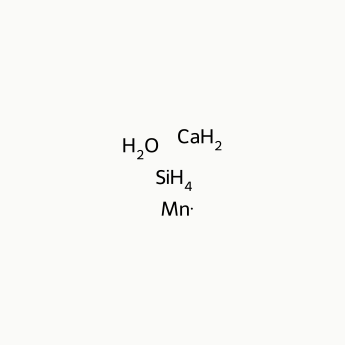 O.[CaH2].[Mn].[SiH4]